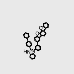 c1ccc(-c2ccc(C3Nc4ccccc4N3c3cccc(-c4ccc5oc6c(ccc7c8ccccc8oc76)c5c4)c3)cc2)cc1